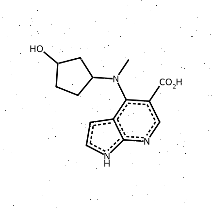 CN(c1c(C(=O)O)cnc2[nH]ccc12)C1CCC(O)C1